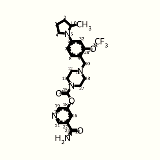 CC1CCCN1c1ccc(CN2CCN(C(=O)Oc3cncc(C(N)=O)c3)CC2)c(OC(F)(F)F)c1